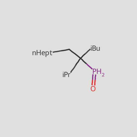 CCCCCCCCC([PH2]=O)(C(C)C)C(C)CC